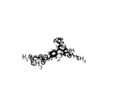 CCCC[S+]([O-])c1[nH]c2nc(-c3nccs3)cc(-c3ccc(COC(=O)OCCN(C)C)cc3)c2c1N